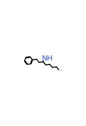 [CH2]CCCCC(=N)CCc1ccccc1